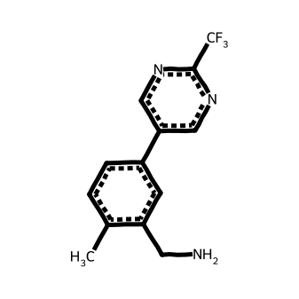 Cc1ccc(-c2cnc(C(F)(F)F)nc2)cc1CN